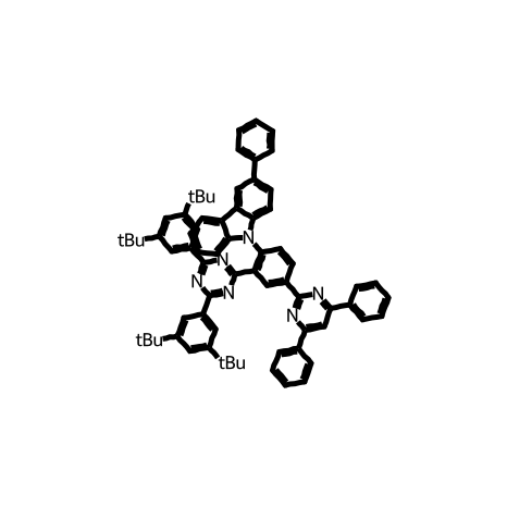 CC(C)(C)c1cc(-c2nc(-c3cc(C(C)(C)C)cc(C(C)(C)C)c3)nc(-c3cc(-c4nc(-c5ccccc5)cc(-c5ccccc5)n4)ccc3-n3c4ccccc4c4cc(-c5ccccc5)ccc43)n2)cc(C(C)(C)C)c1